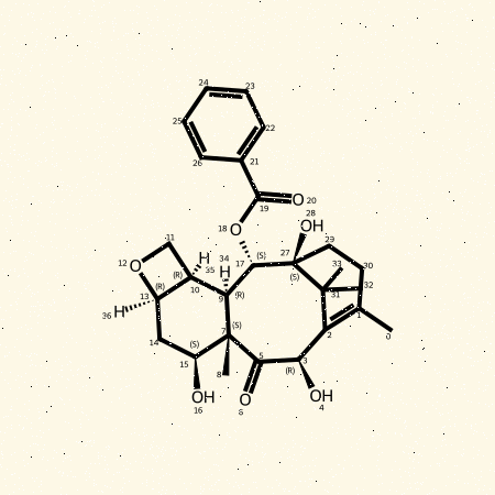 CC1=C2[C@@H](O)C(=O)[C@@]3(C)[C@@H]([C@@H]4CO[C@@H]4C[C@@H]3O)[C@H](OC(=O)c3ccccc3)[C@](O)(CC1)C2(C)C